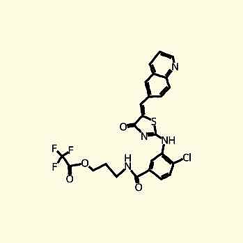 O=C1N=C(Nc2cc(C(=O)NCCCOC(=O)C(F)(F)F)ccc2Cl)S/C1=C\c1ccc2ncccc2c1